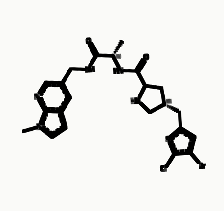 C[C@H](NC(=O)C1C[C@H](Cc2cc(Br)c(Cl)s2)CN1)C(=O)NCc1cnc2c(ccn2C)c1